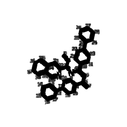 C=C/C(=N\C(=C/C(=C)c1ccc(-c2ccccc2)cc1)c1ccc(-c2ccccc2)cc1)c1cc2ccccc2cn1